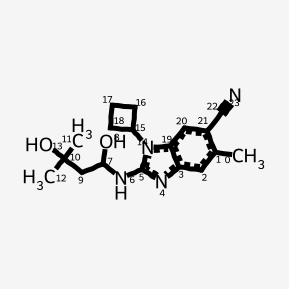 Cc1cc2nc(NC(O)CC(C)(C)O)n(C3CCC3)c2cc1C#N